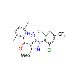 CSc1nn(-c2c(Cl)cc(C(F)(F)F)cc2Cl)c(N)c1C(=O)c1cc(C)ccc1C